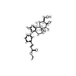 CCOC(=O)/C=C/c1cccc(-n2c(C)nc3c2CC[C@H]2[C@H](C)C(=O)/C(=C\O)C[C@]32C)c1